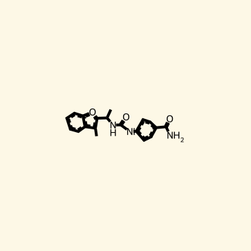 Cc1c(C(C)NC(=O)Nc2ccc(C(N)=O)cc2)oc2ccccc12